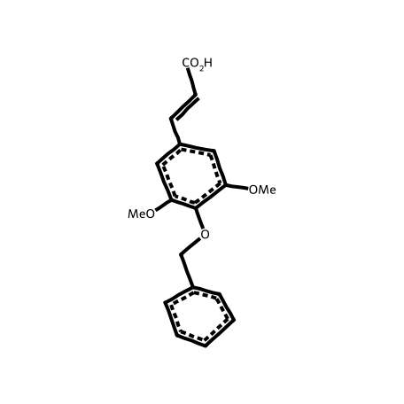 COc1cc(C=CC(=O)O)cc(OC)c1OCc1ccccc1